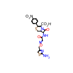 Nc1nc(CON=CC(=O)NC2C(=O)N3C(C(=O)O)=C(c4ccc([N+](=O)[O-])cc4)SCC23)cs1